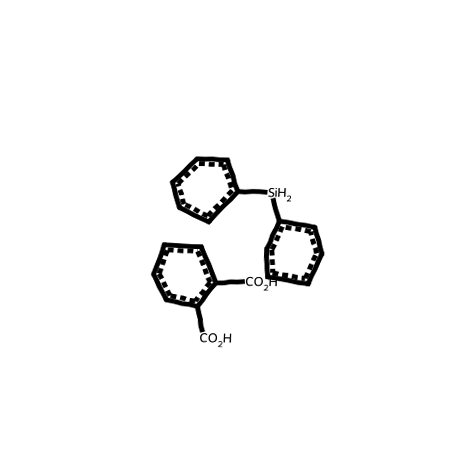 O=C(O)c1ccccc1C(=O)O.c1ccc([SiH2]c2ccccc2)cc1